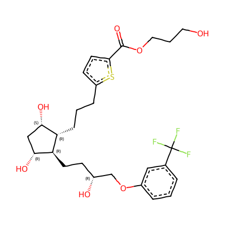 O=C(OCCCO)c1ccc(CCC[C@@H]2[C@@H](CC[C@@H](O)COc3cccc(C(F)(F)F)c3)[C@H](O)C[C@@H]2O)s1